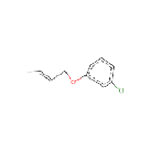 [CH2]C=CCOc1cccc(Cl)c1